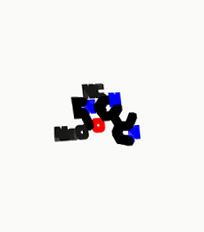 COC(=O)c1cccn1-c1cc(-c2cccnc2C)cnc1C#N